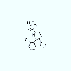 COC(=O)c1cnc(N2CCCC2)c(-c2ccccc2Cl)n1